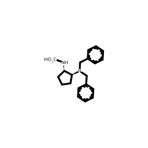 O=C(O)N[C@H]1CCC[C@@H]1N(Cc1ccccc1)Cc1ccccc1